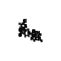 CC(C)(C)OC(=O)N1CCC(C(=O)O)C(c2ccc(Cl)s2)C1